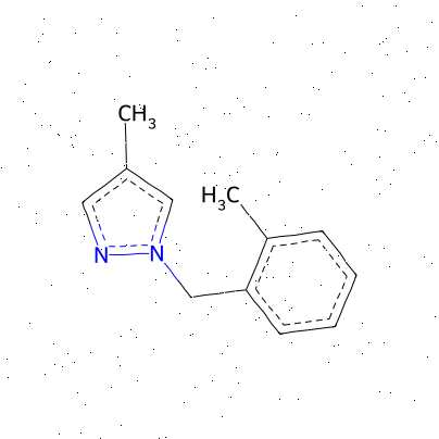 Cc1cnn(Cc2ccccc2C)c1